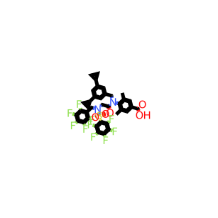 Cc1cc(C(=O)O)cc(C)c1N(Cc1cc(C2CC2)cc(C2CC2)c1)C(=O)CN(Cc1c(F)c(F)c(F)c(F)c1F)S(=O)(=O)c1c(F)c(F)c(F)c(F)c1F